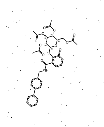 CC(=O)OC[C@H]1O[C@@H](On2c(C(=O)NCc3ccc(-c4ccccc4)cc3)cccc2=O)[C@H](OC(C)=O)[C@@H](OC(C)=O)[C@@H]1OC(C)=O